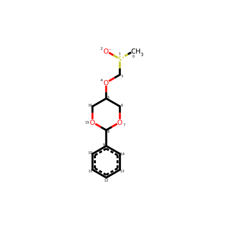 C[S+]([O-])COC1COC(c2ccccc2)OC1